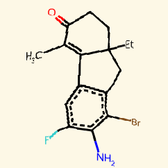 CCC12CCC(=O)C(C)=C1c1cc(F)c(N)c(Br)c1C2